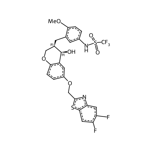 COc1ccc(NS(=O)(=O)C(F)(F)F)cc1C[C@@H]1COc2ccc(OCc3nc4cc(F)c(F)cc4s3)cc2[C@@H]1O